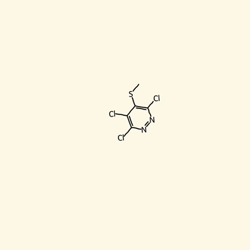 CSc1c(Cl)nnc(Cl)c1Cl